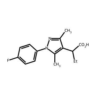 CCC(C(=O)O)c1c(C)nn(-c2ccc(F)cc2)c1C